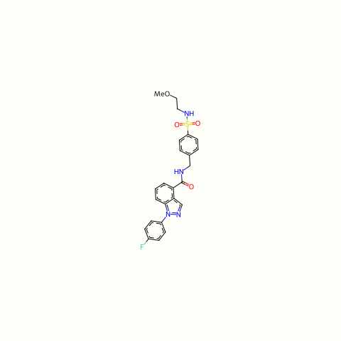 COCCNS(=O)(=O)c1ccc(CNC(=O)c2cccc3c2cnn3-c2ccc(F)cc2)cc1